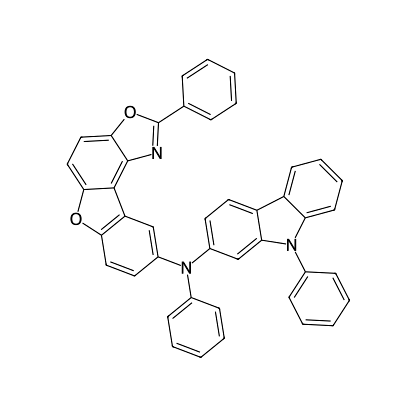 c1ccc(-c2nc3c(ccc4oc5ccc(N(c6ccccc6)c6ccc7c8ccccc8n(-c8ccccc8)c7c6)cc5c43)o2)cc1